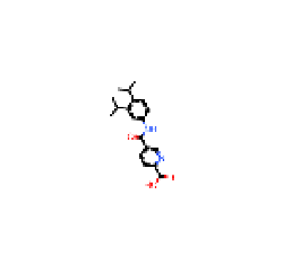 CC(C)c1ccc(NC(=O)c2ccc(C(=O)O)nc2)cc1C(C)C